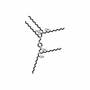 CCCCCCCCCC[C@H](O)CN(CCN1CCN(CCN(C[C@@H](O)CCCCCCCCCC)C[C@@H](O)CCCCCCCCCC)CC1)CCN(C[C@@H](O)CCCCCCCCCC)C[C@@H](O)CCCCCCCCCC